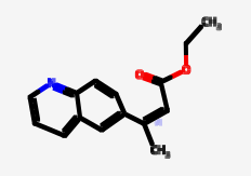 CCOC(=O)/C=C(/C)c1ccc2ncccc2c1